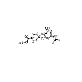 CC(C)(C)OC(=O)N1CCC(F)(Cc2ccc(N[SH](=O)=O)cc2[N+](=O)[O-])CC1